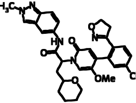 COc1cn(C(CC2CCCCO2)C(=O)Nc2ccc3nn(C)cc3c2)c(=O)cc1-c1cc(Cl)ccc1C1=NOCC1